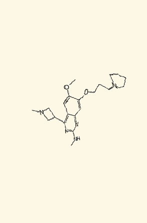 CNc1nc(C2CN(C)C2)c2cc(OC)c(OCCCN3CCCC3)cc2n1